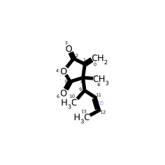 C=C1C(=O)OC(=O)C1(C)C(C)/C=C\C